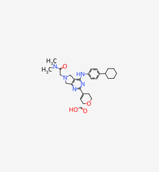 CN(C)C(=O)CN1Cc2nc(C3=CCOCC3)nc(Nc3ccc(C4CCCCC4)cc3)c2C1.O=CO